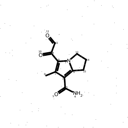 Cc1c(C(N)=O)c2n(c1C(=O)C=O)CCC2